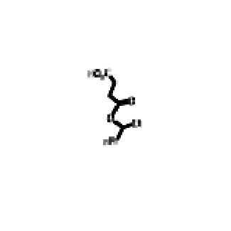 CCCC(CC)OC(=O)CCC(=O)O